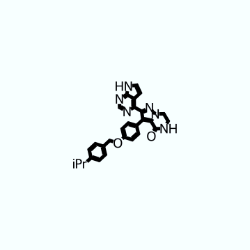 CC(C)c1ccc(COc2ccc(-c3c(-c4ncnc5[nH]ccc45)nn4c3C(=O)NCC4)cc2)cc1